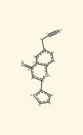 N#CCc1ccc2oc(-c3cccs3)cc(=O)c2c1